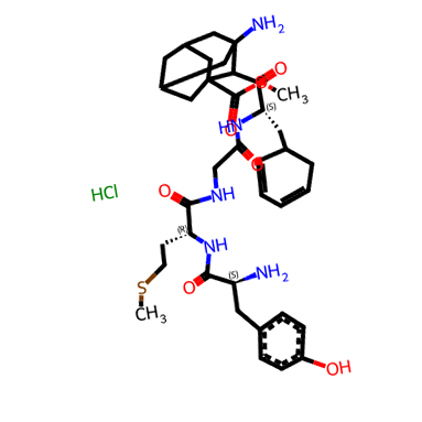 COC(=O)C12CC3CC(CC(N)(C3)C1C(=O)[C@H](CC1C=CC=CC1)NC(=O)CNC(=O)[C@@H](CCSC)NC(=O)[C@@H](N)Cc1ccc(O)cc1)C2.Cl